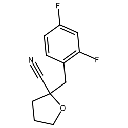 N#CC1(Cc2ccc(F)cc2F)CCCO1